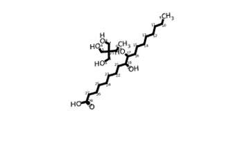 CCC(CO)(CO)CO.CCCCCCCCC(O)C(O)CCCCCCCC(=O)O